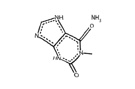 Cn1c(=O)[nH]c2nc[nH]c2c1=O.N